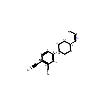 C/C=C\[C@H]1CC[C@H](c2ccc(C#N)c(F)c2)CC1